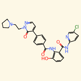 O=C(Nc1c(O)cccc1C(=O)Nc1ccc(Cl)cn1)c1ccc(-c2ccnn(CCN3CCCC3)c2=O)cc1